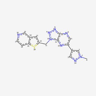 Cn1cc(-c2cnc3nnn(Cc4cc5cnccc5s4)c3n2)cn1